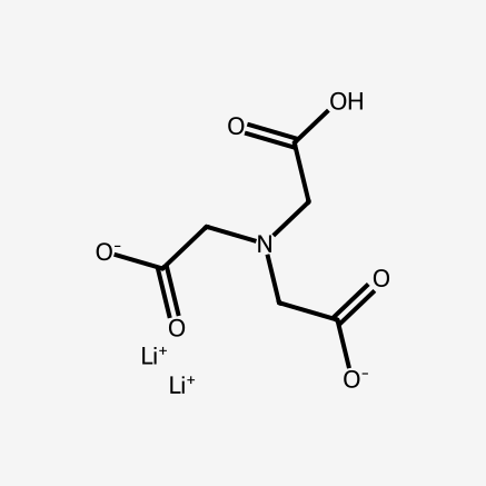 O=C([O-])CN(CC(=O)[O-])CC(=O)O.[Li+].[Li+]